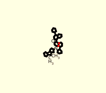 CC1(C)c2ccccc2-c2ccc(N(c3ccc4c(c3)oc3cc(-c5ccccc5)c5ccccc5c34)c3ccccc3-c3ccccc3)cc21